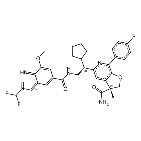 COC1=CC(C(=O)NC[C@H](c2cc3c(c(-c4ccc(F)cc4)n2)OC[C@]3(C)C(N)=O)C2CCCC2)=C/C(=C/NC(F)F)C1=N